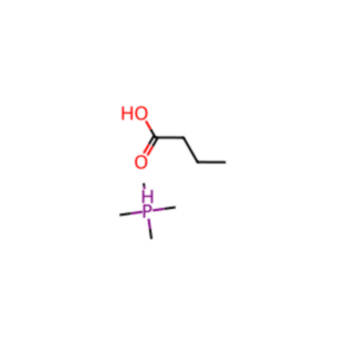 CCCC(=O)O.C[PH](C)(C)C